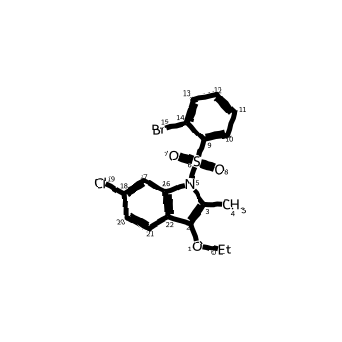 [CH2]COc1c(C)n(S(=O)(=O)c2ccccc2Br)c2cc(Cl)ccc12